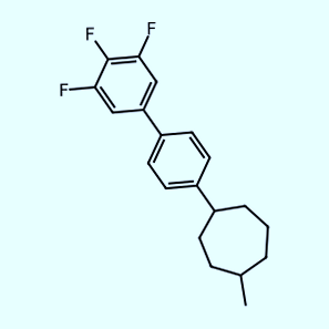 CC1CCCC(c2ccc(-c3cc(F)c(F)c(F)c3)cc2)CC1